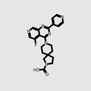 O=C(O)N1CCC2(CCN(c3nc(-c4ccncc4)nc4cncc(F)c34)CC2)C1